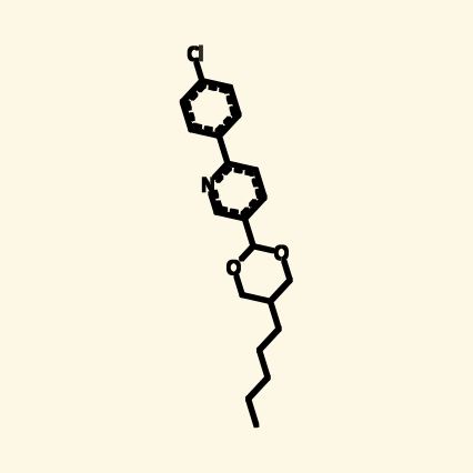 CCCCCC1COC(c2ccc(-c3ccc(Cl)cc3)nc2)OC1